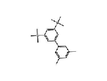 Cc1cc(C)cc(-c2cc([Si](C)(C)C)[c]c([Si](C)(C)C)c2)c1